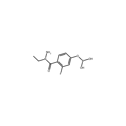 CCN(N)C(=O)c1ccc(OB(O)O)cc1F